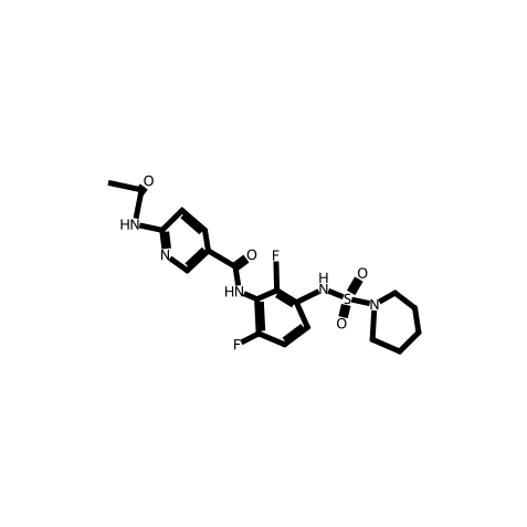 CC(=O)Nc1ccc(C(=O)Nc2c(F)ccc(NS(=O)(=O)N3CCCCC3)c2F)cn1